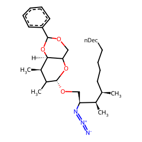 CCCCCCCCCCCCCC[C@@H](C)[C@@H](C)[C@H](CO[C@H]1OC2COC(c3ccccc3)O[C@@H]2[C@H](C)C1C)N=[N+]=[N-]